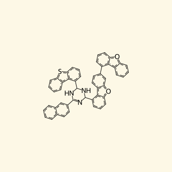 c1ccc2cc(C3=NC(c4cccc5oc6cc(-c7cccc8oc9ccccc9c78)ccc6c45)NC(c4cccc5sc6ccccc6c45)N3)ccc2c1